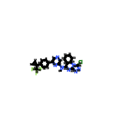 CN(c1cncc(-c2ccc(C3(C(F)(F)F)CC3)cc2)n1)c1nc2nnc(Cl)n2c2ccccc12